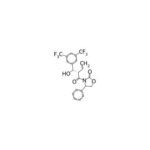 C=C[C@H](C(=O)N1C(=O)OCC1c1ccccc1)C(O)c1cc(C(F)(F)F)cc(C(F)(F)F)c1